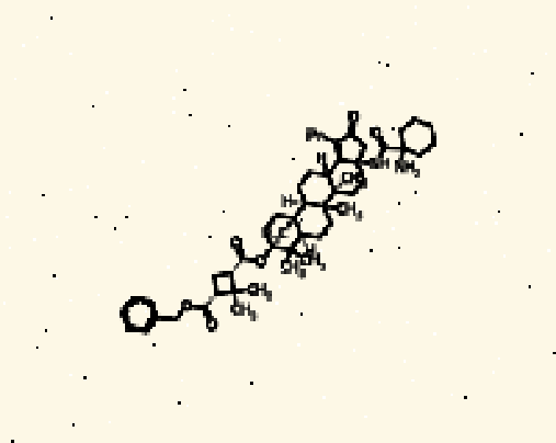 CC(C)C1=C2[C@H]3CC[C@@H]4[C@@]5(C)CC[C@H](OC(=O)[C@H]6C[C@@H](C(=O)OCc7ccccc7)C6(C)C)C(C)(C)[C@@H]5CC[C@@]4(C)[C@]3(C)CC[C@@]2(NC(=O)C2(N)CCCCC2)CC1=O